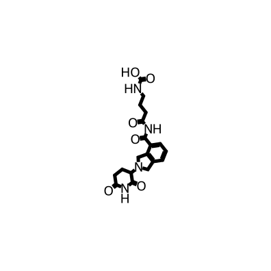 O=C(O)NCCCC(=O)NC(=O)c1cccc2c1CN(C1CCC(=O)NC1=O)C2